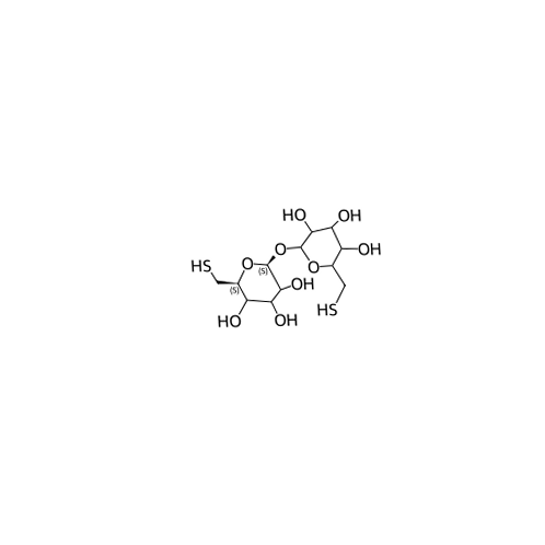 OC1C(CS)OC(O[C@@H]2O[C@H](CS)C(O)C(O)C2O)C(O)C1O